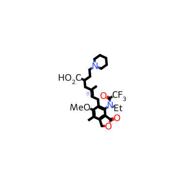 CCN(C(=O)C(F)(F)F)c1c(C/C=C(\C)CC(CCN2CCCCC2)C(=O)O)c(OC)c(C)c2c1C(=O)OC2